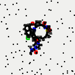 CO[C@@]1(CN2CCN(C(=O)N(C)C)CC2)/C=C/C[C@H](C)[C@@H](C)S(=O)(=O)NC(=O)c2ccc3c(c2)N(C[C@@H]2CC[C@H]21)C[C@@]1(CCCc2cc(Cl)ccc21)CO3